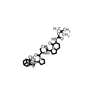 CCC(NC(=O)C1CCC2CCC(NC(=O)OC(C)(C)C)C(=O)N21)C(=O)N1CCCC1B1OC2CC3CC(C3(C)C)C2(C)O1